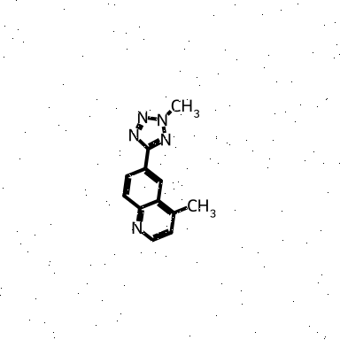 Cc1ccnc2ccc(-c3nnn(C)n3)cc12